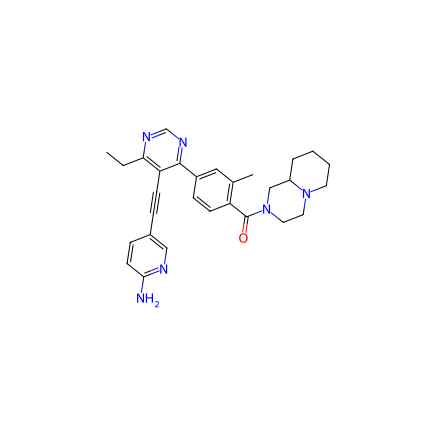 CCc1ncnc(-c2ccc(C(=O)N3CCN4CCCCC4C3)c(C)c2)c1C#Cc1ccc(N)nc1